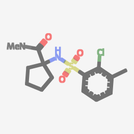 CNC(=O)C1(NS(=O)(=O)c2cccc(C)c2Cl)CCCC1